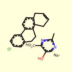 C1=CCc2c(ccc3c2CCc2ccccc2-3)C1.Cc1ncc(O)c(C(=O)O)n1.[Cl-].[Na+]